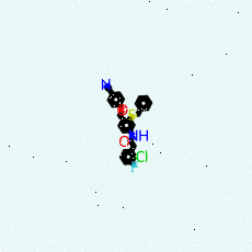 N#Cc1ccc(OCc2ccc(NC(=O)Cc3cccc(F)c3Cl)cc2SCc2ccccc2)cc1